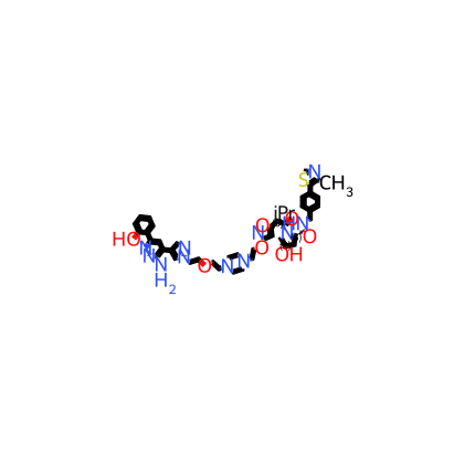 Cc1ncsc1-c1ccc(CNC(=O)[C@@H]2C[C@@H](O)CN2C(=O)[C@H](c2cc(OCCN3CCN(CCOCCn4cc(-c5cc(-c6ccccc6O)nnc5N)cn4)CC3)no2)C(C)C)cc1